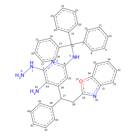 NNc1nc(NC(c2ccccc2)(c2ccccc2)c2ccccc2)cc(C(Cc2nc3ccccc3o2)c2ccccc2)c1N